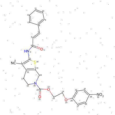 N#Cc1c(NC(=O)C=Cc2ccccc2)sc2c1CCN(C(=O)OCCOc1ccc([N+](=O)[O-])cc1)C2